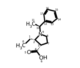 CC[C@H]1[C@@H](C(=O)O)CCN1[C@@H](C)c1ccccc1